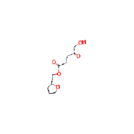 O=C(CO)CCC(=O)OCC1CCCO1